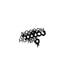 NC(=O)C1=C(O)[C@@H](N)[C@@H]2C[C@H]3C(=C(O)[C@]2(O)C1=O)C(=O)c1c(cc2cccnc2c1O)[C@@H]3c1ccc(F)cc1